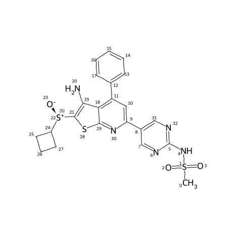 CS(=O)(=O)Nc1ncc(-c2cc(-c3ccccc3)c3c(N)c([S@+]([O-])C4CCC4)sc3n2)cn1